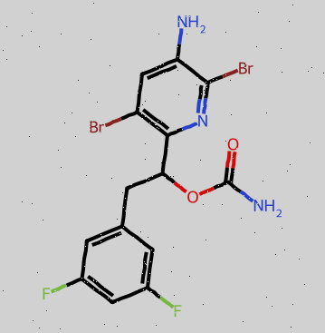 NC(=O)OC(Cc1cc(F)cc(F)c1)c1nc(Br)c(N)cc1Br